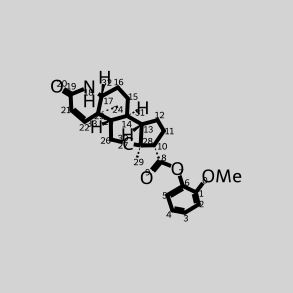 COc1ccccc1OC(=O)[C@H]1CC[C@H]2[C@@H]3CC[C@H]4NC(=O)C=C[C@]4(C)[C@H]3CC[C@]12C